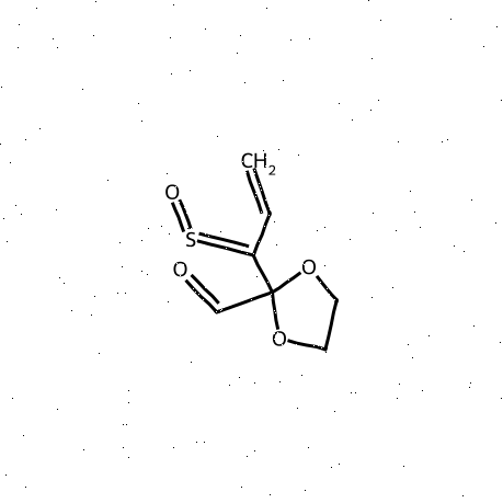 C=CC(=S=O)C1(C=O)OCCO1